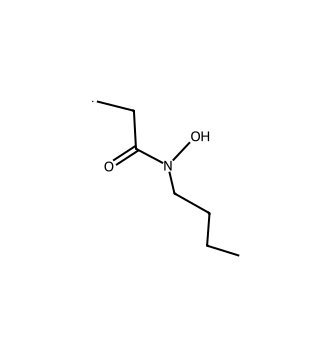 [CH2]CC(=O)N(O)CCCC